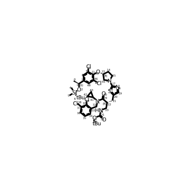 C[C@H](O[Si](C)(C)C(C)(C)C)c1cc(Cl)c(O[C@@H]2CCN(c3ncc(C[C@H](CNC(=O)OC(C)(C)C)C(=O)N(Cc4cccc(Cl)c4Cl)C4CC4)s3)C2)c(Cl)c1